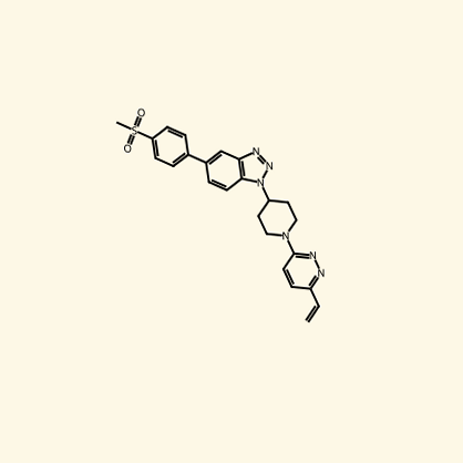 C=Cc1ccc(N2CCC(n3nnc4cc(-c5ccc(S(C)(=O)=O)cc5)ccc43)CC2)nn1